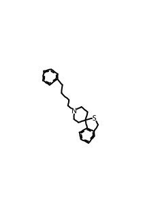 c1ccc(CCCCN2CCC3(CC2)SCc2ccccc23)cc1